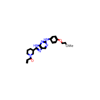 C=CC(=O)N1CCCC(c2nc3cnc(Nc4ccc(OCCOC)cc4)nc3[nH]2)C1